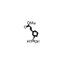 COC(=O)/C=C/c1cccc(B(O)O)c1